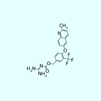 Cc1ccc2cc(Oc3ccc(COC(=O)N=C(N)N)cc3C(F)(F)F)ccc2n1